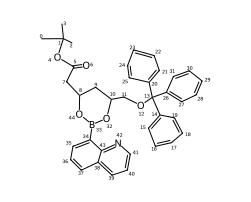 CC(C)(C)OC(=O)CC1CC(COC(c2ccccc2)(c2ccccc2)c2ccccc2)OB(c2cccc3cccnc23)O1